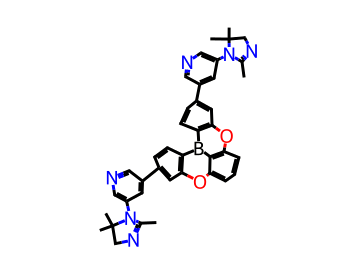 CC1=NCC(C)(C)N1c1cncc(-c2ccc3c(c2)Oc2cccc4c2B3c2ccc(-c3cncc(N5C(C)=NCC5(C)C)c3)cc2O4)c1